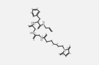 C=CCNC(=C)C(Cc1ccccc1)NC(=C)CNC(=C)CNC(=C)CCCCCCn1c(=C)ccc1=C